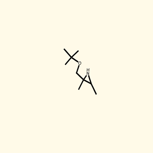 CC1NC1(C)COC(C)(C)C